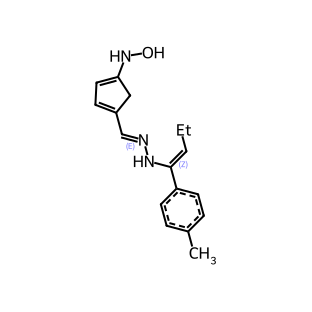 CC/C=C(\N/N=C/C1=CC=C(NO)C1)c1ccc(C)cc1